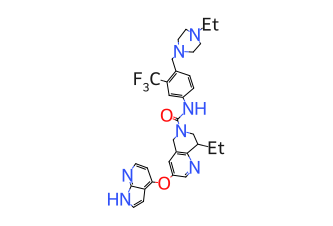 CCC1CN(C(=O)Nc2ccc(CN3CCN(CC)CC3)c(C(F)(F)F)c2)Cc2cc(Oc3ccnc4[nH]ccc34)cnc21